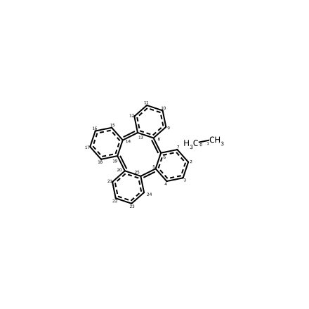 CC.c1ccc2/c(c1)=c1/cccc/c1=c1\cccc\c1=c1/cccc/c1=2